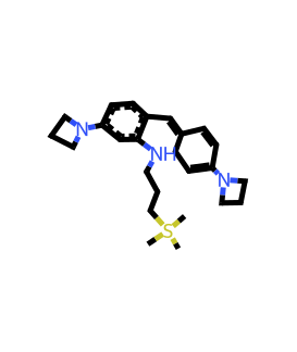 CS(C)(C)CCCNc1cc(N2CCC2)ccc1/C=C1/C=CC(N2CCC2)=CC1